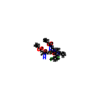 C[C@@H](CCC(=O)OCC[Si](C)(C)C)NC(=O)CCSCC(=O)N(CCCNC(=O)OCC[Si](C)(C)C)[C@@H](c1cc(-c2cc(F)ccc2F)cn1Cc1ccccc1)C(C)(C)C